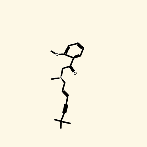 COc1ccccc1C(=O)CN(C)CC=CC#CC(C)(C)C